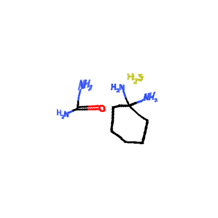 NC(N)=O.NC1(N)CCCCC1.S